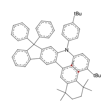 Cc1cc2c(cc1-c1cc3c(cc1N(c1ccc(C(C)(C)C)cc1)c1ccc(C(C)(C)C)cc1)C(c1ccccc1)(c1ccccc1)c1ccccc1-3)C(C)(C)CCC2(C)C